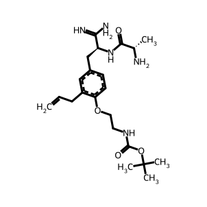 C=CCc1cc(C[C@H](NC(=O)[C@H](C)N)C(=N)N)ccc1OCCNC(=O)OC(C)(C)C